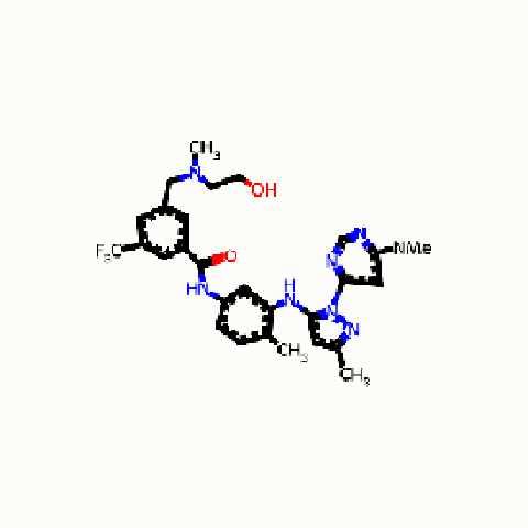 CNc1cc(-n2nc(C)cc2Nc2cc(NC(=O)c3cc(CN(C)CCO)cc(C(F)(F)F)c3)ccc2C)ncn1